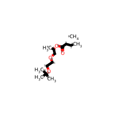 C.CCCC(=O)OC(C)COCCOC(C)(C)C